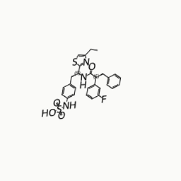 CCc1csc([C@H](Cc2ccc(NS(=O)(=O)O)cc2)NC(=O)[C@@H](Cc2ccccc2)c2cccc(F)c2)n1